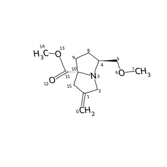 C=C1CN2[C@H](COC)CC[C@]2(C(=O)OC)C1